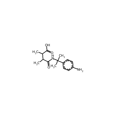 CC(C(=O)O)C(C)C(=O)NC(C)(C)c1ccc(N)cc1